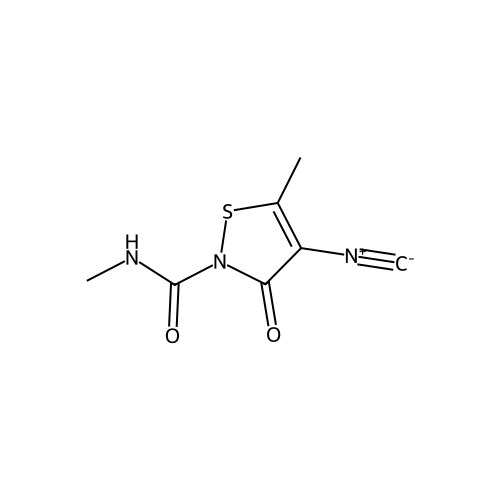 [C-]#[N+]c1c(C)sn(C(=O)NC)c1=O